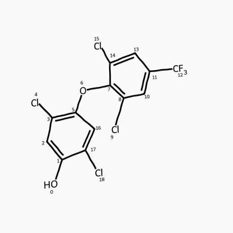 Oc1cc(Cl)c(Oc2c(Cl)cc(C(F)(F)F)cc2Cl)cc1Cl